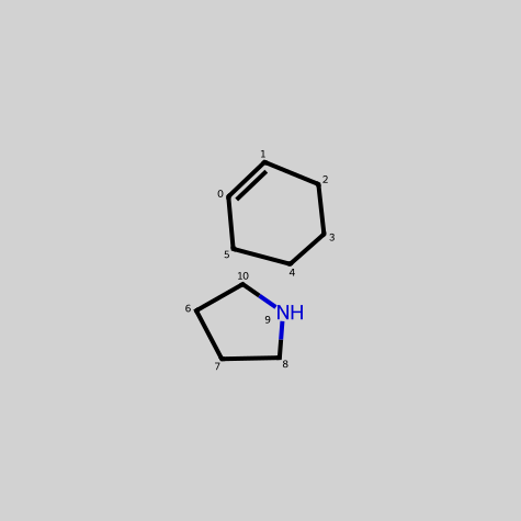 C1=CCCCC1.C1CCNC1